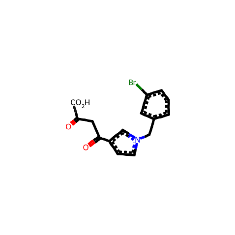 O=C(O)C(=O)CC(=O)c1ccn(Cc2cccc(Br)c2)c1